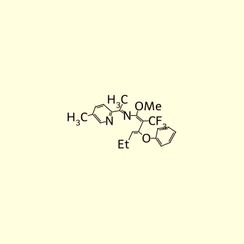 CC/C=C(Oc1ccccc1)/C(=C(\N=C(/C)c1ccc(C)cn1)OC)C(F)(F)F